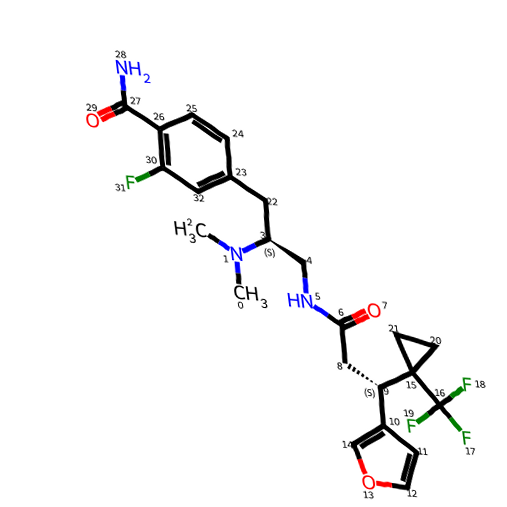 CN(C)[C@H](CNC(=O)C[C@@H](c1ccoc1)C1(C(F)(F)F)CC1)Cc1ccc(C(N)=O)c(F)c1